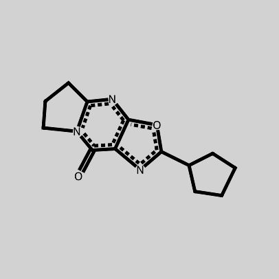 O=c1c2nc(C3CCCC3)oc2nc2n1CCC2